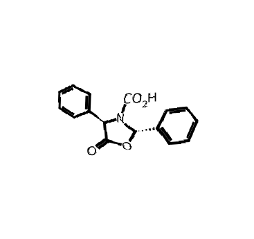 O=C1O[C@@H](c2ccccc2)N(C(=O)O)[C@@H]1c1ccccc1